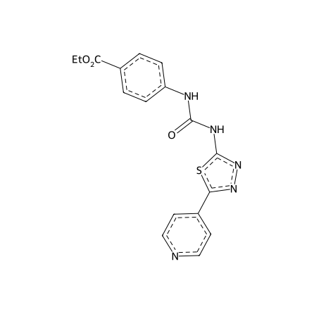 CCOC(=O)c1ccc(NC(=O)Nc2nnc(-c3ccncc3)s2)cc1